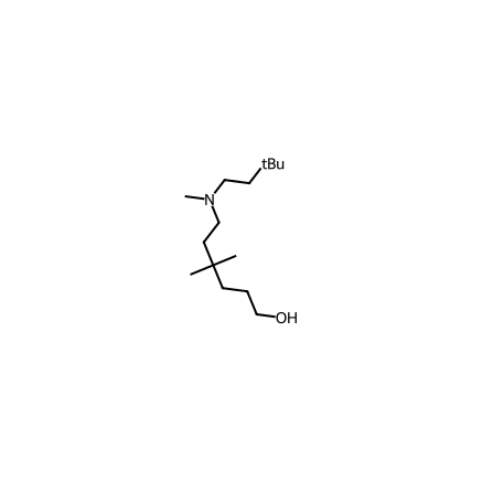 CN(CCC(C)(C)C)CCC(C)(C)CCCO